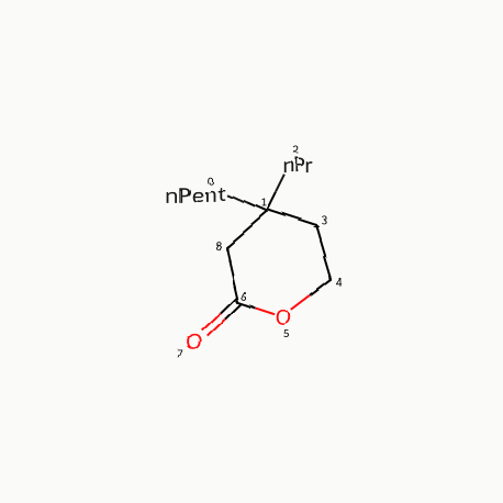 CCCCCC1(CCC)CCOC(=O)C1